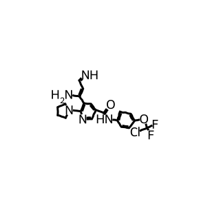 N=C/C=C(\N)c1cc(C(=O)Nc2ccc(OC(F)(F)Cl)cc2)cnc1N1CCCC1